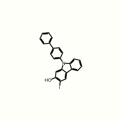 Oc1cc2c(cc1I)c1ccccc1n2-c1ccc(-c2ccccc2)cc1